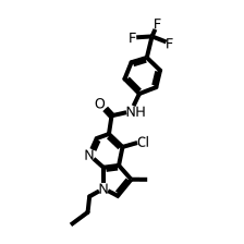 CCCn1cc(C)c2c(Cl)c(C(=O)Nc3ccc(C(F)(F)F)cc3)cnc21